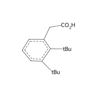 CC(C)(C)c1cccc(CC(=O)O)c1C(C)(C)C